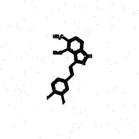 COc1c(C(=O)O)ccc2[nH]nc(C=Cc3ccc(F)c(F)c3)c12